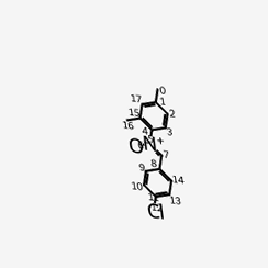 Cc1ccc([N+]([O-])=Cc2ccc(Cl)cc2)c(C)c1